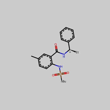 CCCCS(=O)(=O)Nc1ccc(C)cc1C(=O)N[C@H](CC)c1ccccc1